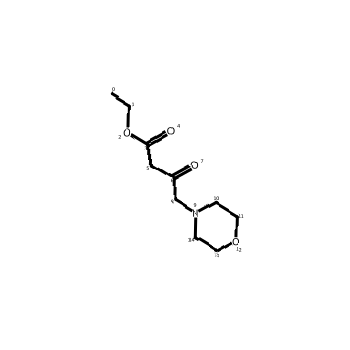 CCOC(=O)CC(=O)CN1CCOCC1